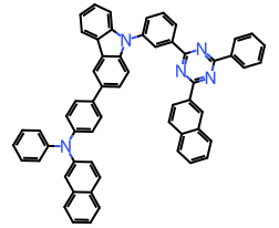 c1ccc(-c2nc(-c3cccc(-n4c5ccccc5c5cc(-c6ccc(N(c7ccccc7)c7ccc8ccccc8c7)cc6)ccc54)c3)nc(-c3ccc4ccccc4c3)n2)cc1